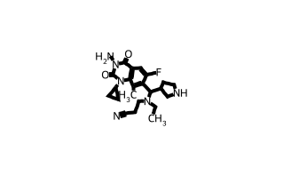 CCN(CCC#N)C(c1c(F)cc2c(=O)n(N)c(=O)n(C3CC3)c2c1C)C1CCNC1